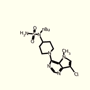 CCCCN(C1CCN(c2ncnc3c(Cl)cn(C)c23)CC1)S(N)(=O)=O